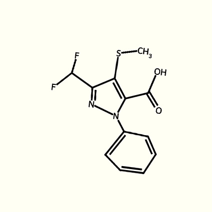 CSc1c(C(F)F)nn(-c2ccccc2)c1C(=O)O